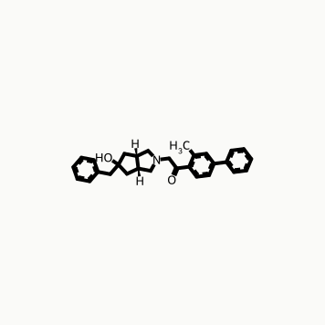 Cc1cc(-c2ccccc2)ccc1C(=O)CN1C[C@@H]2CC(O)(Cc3ccccc3)C[C@@H]2C1